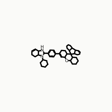 C1=CC2NC(c3ccc(C4=CC5OC6CCCCC6C6(C5CC4)C4CCC=CC4C4CCCCC46)cc3)N(C3CCCCC3)C2CC1